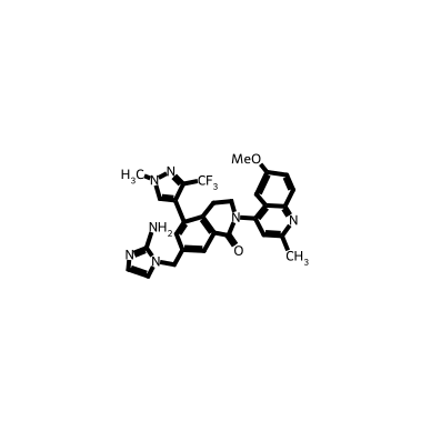 COc1ccc2nc(C)cc(N3CCc4c(cc(Cn5ccnc5N)cc4-c4cn(C)nc4C(F)(F)F)C3=O)c2c1